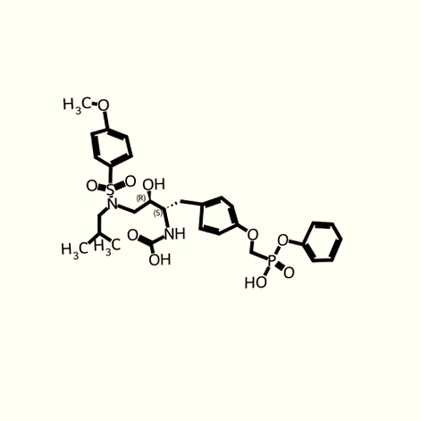 COc1ccc(S(=O)(=O)N(CC(C)C)C[C@@H](O)[C@H](Cc2ccc(OCP(=O)(O)Oc3ccccc3)cc2)NC(=O)O)cc1